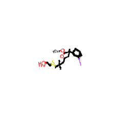 CC(C)(CCCC(C)(C(=O)OC(C)(C)C)c1cccc(I)c1)CSCCO